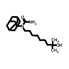 CC(C)(O)CCCCCCCN(C(N)=O)C12CC3CC(CC(C3)C1)C2